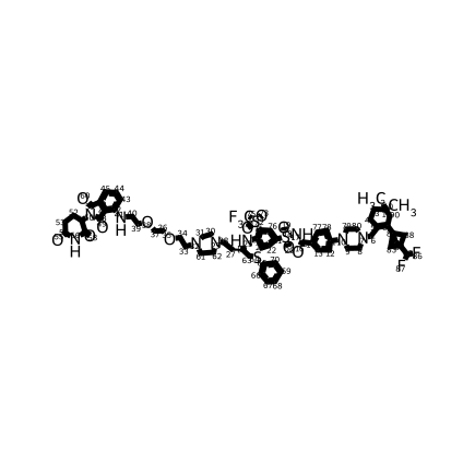 CC1(C)CCC(CN2CCN(c3ccc(C(=O)NS(=O)(=O)c4ccc(N[C@H](CCN5CCN(CCOCCOCCNc6cccc7c6C(=O)N(C6CCC(=O)NC6=O)C7=O)CC5)CSc5ccccc5)c(S(=O)(=O)C(F)(F)F)c4)cc3)CC2)=C(C23CC(C(F)F)(C2)C3)C1